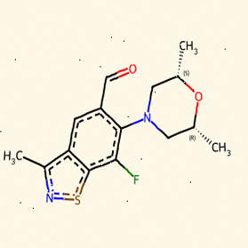 Cc1nsc2c(F)c(N3C[C@@H](C)O[C@@H](C)C3)c(C=O)cc12